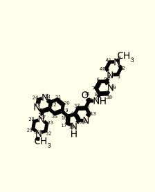 CN1CCN(c2ccc(NC(=O)c3cnc4[nH]cc(-c5ccc6ncnc(N7CCN(C)CC7)c6c5)c4c3)cn2)CC1